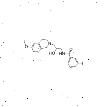 O=C(NCC(O)CN1CCc2cc(OI)ccc2C1)c1cccc(I)c1